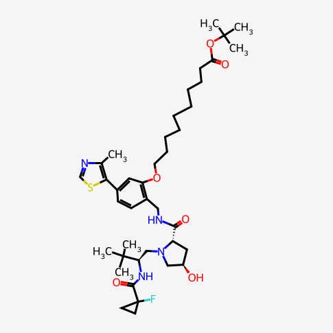 Cc1ncsc1-c1ccc(CNC(=O)[C@@H]2C[C@@H](O)CN2C[C@@H](NC(=O)C2(F)CC2)C(C)(C)C)c(OCCCCCCCCCC(=O)OC(C)(C)C)c1